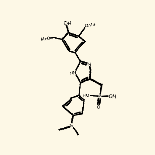 COc1cc(-c2nc(CP(=O)(O)O)c(-c3ccc(N(C)C)cc3)[nH]2)cc(OC)c1O